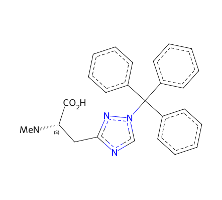 CN[C@@H](Cc1ncn(C(c2ccccc2)(c2ccccc2)c2ccccc2)n1)C(=O)O